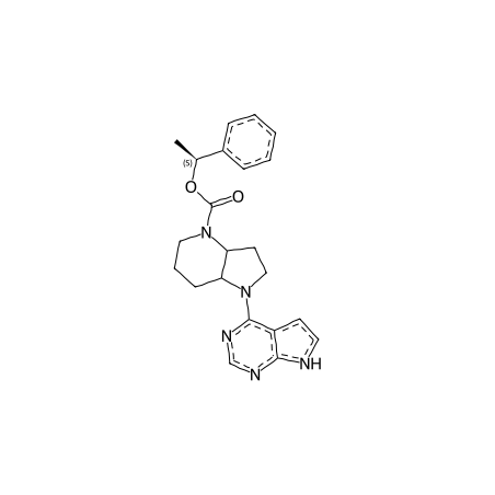 C[C@H](OC(=O)N1CCCC2C1CCN2c1ncnc2[nH]ccc12)c1ccccc1